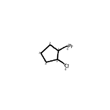 CC(C)[C]1CCCC1Cl